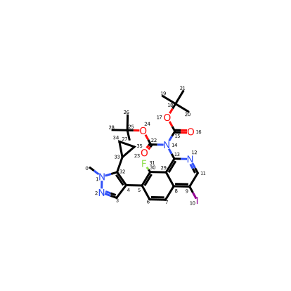 Cn1ncc(-c2ccc3c(I)cnc(N(C(=O)OC(C)(C)C)C(=O)OC(C)(C)C)c3c2F)c1C1CC1